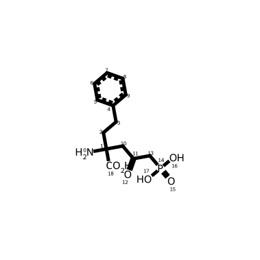 NC(CCc1ccccc1)(CC(=O)CP(=O)(O)O)C(=O)O